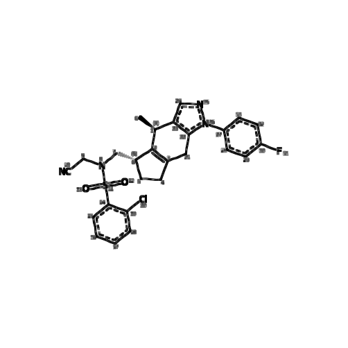 C[C@@H]1C2=C(CC[C@@H]2CN(CC#N)S(=O)(=O)c2ccccc2Cl)Cc2c1cnn2-c1ccc(F)cc1